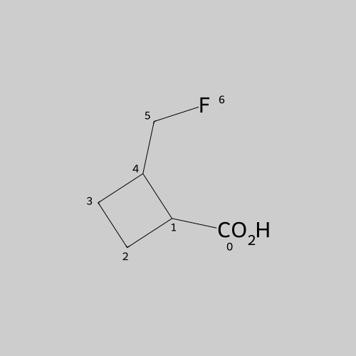 O=C(O)C1CCC1CF